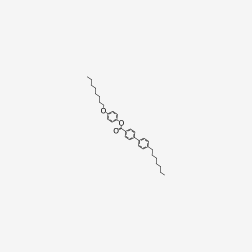 CCCCCCCCOc1ccc(OC(=O)c2ccc(-c3ccc(CCCCCCC)cc3)cc2)cc1